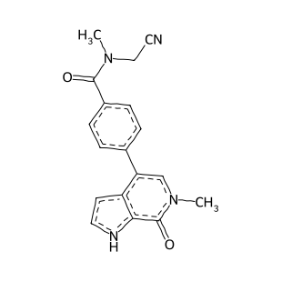 CN(CC#N)C(=O)c1ccc(-c2cn(C)c(=O)c3[nH]ccc23)cc1